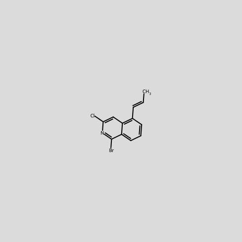 CC=Cc1cccc2c(Br)nc(Cl)cc12